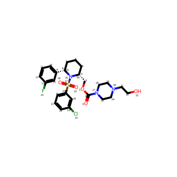 O=C(OC[C@H]1CCC[C@@H](c2cccc(F)c2)N1S(=O)(=O)c1cccc(Cl)c1)N1CCN(CCO)CC1